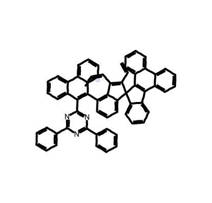 C=CC1=C(/C=C\C)c2c(-c3c(-c4nc(-c5ccccc5)nc(-c5ccccc5)n4)c4ccccc4c4ccccc34)cccc2C12c1ccccc1-c1c2c2ccccc2c2ccccc12